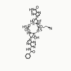 N#CCCOP1(=S)OC[C@@]2(CO)O[C@@H](n3cnc4c(NC(=O)c5ccccc5)ncnc43)C[C@@H]2OP(=O)(S)OC[C@H]2O[C@@H](n3cnc4c(=O)[nH]cnc43)[C@H](F)[C@@H]2O1